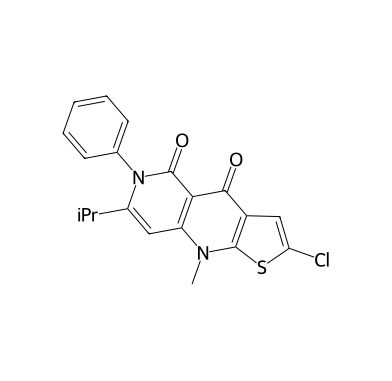 CC(C)c1cc2c(c(=O)c3cc(Cl)sc3n2C)c(=O)n1-c1ccccc1